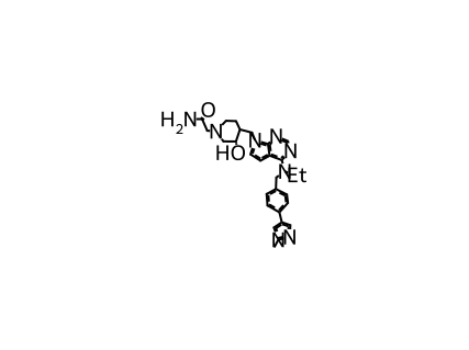 CCN(Cc1ccc(-c2cnn(C)c2)cc1)c1ncnc2c1ccn2CC1CCN(CC(N)=O)C[C@@H]1O